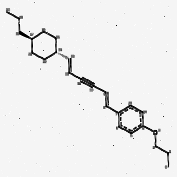 CCCOc1ccc(C=CC#CC=C[C@H]2CC[C@H](CCC)CC2)cc1